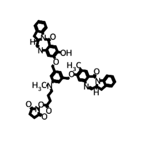 Cc1cc2c(cc1OCc1cc(COc3cc4c(cc3O)C(=O)N3c5ccccc5C[C@H]3C=N4)cc(N(C)CCCC(=O)ON3C(=O)CCC3=O)c1)N=C[C@@H]1Cc3ccccc3N1C2=O